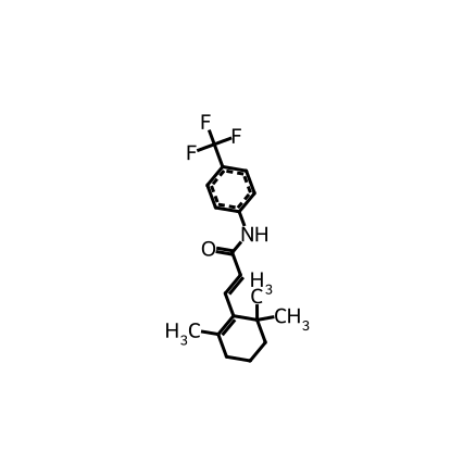 CC1=C(C=CC(=O)Nc2ccc(C(F)(F)F)cc2)C(C)(C)CCC1